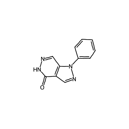 O=c1[nH]ncc2c1cnn2-c1ccccc1